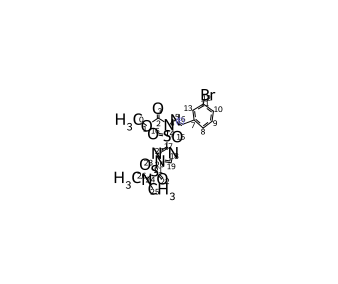 COC(=O)N(/N=C/c1cccc(Br)c1)S(=O)(=O)c1ncn(S(=O)(=O)N(C)C)n1